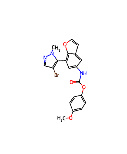 COc1ccc(OC(=O)Nc2cc(-c3c(Br)cnn3C)c3occc3c2)cc1